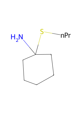 CCCSC1(N)CCCCC1